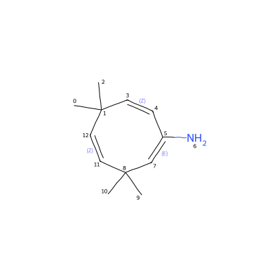 CC1(C)/C=C\C(N)=C/C(C)(C)/C=C\1